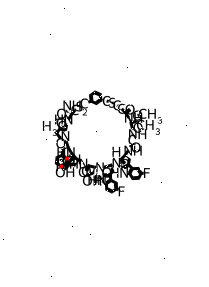 CO[C@@H](C)[C@@H]1NC(=O)CCSCc2cccc(c2)CSC[C@@H](C(N)=O)NC(=O)[C@]2(C)CCCN2C(=O)[C@H](Cc2ccc(O)cc2)NC(=O)[C@H](Cc2cnc[nH]2)NC(=O)[C@H](CC(=O)O)NC(=O)[C@H](Cc2c[nH]c3ccc(F)cc23)NC(=O)[C@H](Cc2c[nH]c3ccc(F)cc23)NC(=O)CNC1=O